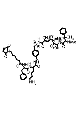 CNC(C(=O)NC(C(=O)N(C)C(/C=C(\C)C(=O)NS(=O)(=O)Cc1ccc(CNC(=O)C(CCCCN)NC(=O)C(Cc2ccccc2)NC(=O)CCCCCN2C(=O)C=CC2=O)cc1)C(C)C)C(C)(C)C)C(C)(C)c1ccccc1